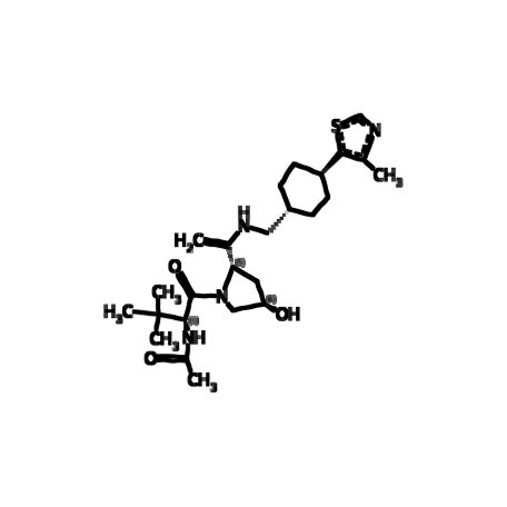 C=C(NC[C@H]1CC[C@H](c2scnc2C)CC1)[C@@H]1C[C@@H](O)CN1C(=O)[C@@H](NC(C)=O)C(C)(C)C